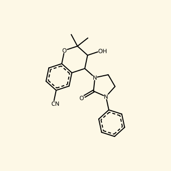 CC1(C)Oc2ccc(C#N)cc2C(N2CCN(c3ccccc3)C2=O)C1O